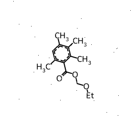 CCOCOC(=O)c1c(C)cc(C)c(C)c1C